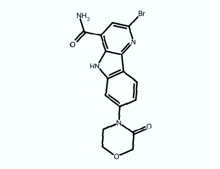 NC(=O)c1cc(Br)nc2c1[nH]c1cc(N3CCOCC3=O)ccc12